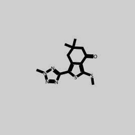 CSc1sc(-c2nnn(C)n2)c2c1C(=O)CC(C)(C)C2